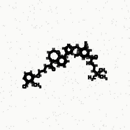 Cc1c(Cl)cccc1OCCCC(=O)N1CCCOc2c(-c3cnn(Cc4c(F)cc(C(=O)NCC[N+](C)(C)C)cc4F)c3)cccc21